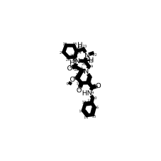 COc1c2n(cc(C(=O)NCc3ccccc3)c1=O)C[C@H]1N(C)C[C@@H]3CCCC[C@@H]3N1C2=O